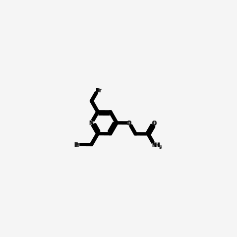 NC(=O)COc1cc(CBr)nc(CBr)c1